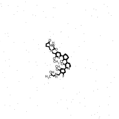 COc1cc(-c2nccc(-c3cccc(-c4ccc(CN(CC5CCC(=O)N5)C(=O)O)c(OC)n4)c3Cl)c2Cl)cc(F)c1CNCC(C)O